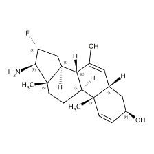 C[C@]12C=C[C@H](O)C[C@H]1C=C(O)[C@@H]1[C@@H]2CC[C@]2(C)[C@@H](N)[C@H](F)C[C@@H]12